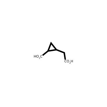 O=C(O)CC1C[C]1C(=O)O